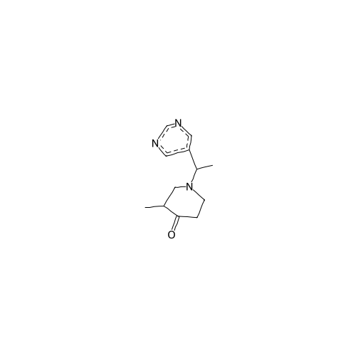 CC1CN(C(C)c2cncnc2)CCC1=O